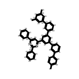 Cc1ccc(-c2cccc(-c3cc(-c4cccc(-c5cc(C)cc(C)c5)c4)cc(-c4cc(-c5ccccc5)nc(-c5ccccc5)n4)c3)c2)cc1